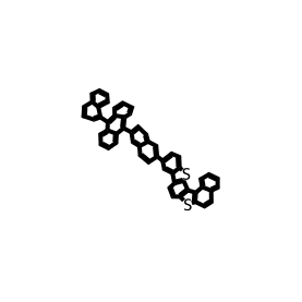 c1ccc2c(-c3c4ccccc4c(-c4ccc5cc(-c6ccc7sc8c(ccc9sc%10ccc%11ccccc%11c%10c98)c7c6)ccc5c4)c4ccccc34)cccc2c1